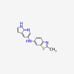 Cc1nc2ccc(Nc3cnc4[nH]ccc4c3)cc2s1